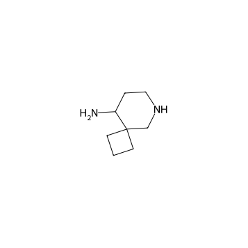 NC1CCNCC12CCC2